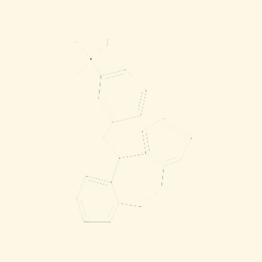 FC(F)(F)c1cccc(CC2c3ccccc3CCc3ccccc32)c1